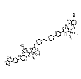 Cc1ncsc1-c1ccc(C(CO)NC(=O)[C@@H]2C[C@@H](O)CN2C(=O)[C@@H](NC(=O)CN2CCN(CCN3CCN(c4ccc(C(=O)N[C@H]5C(C)(C)[C@H](Oc6ccc(C#N)c(Cl)c6)C5(C)C)cn4)CC3)CC2)C(C)(C)O)cc1